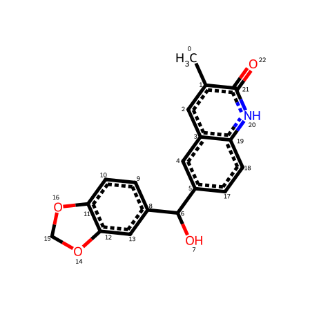 Cc1cc2cc(C(O)c3ccc4c(c3)OCO4)ccc2[nH]c1=O